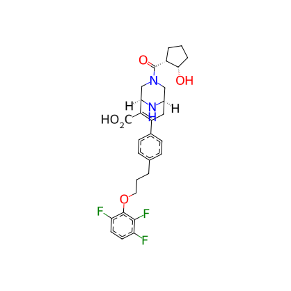 O=C(O)C1=C(c2ccc(CCCOc3c(F)ccc(F)c3F)cc2)C[C@@H]2CN(C(=O)[C@@H]3CCC[C@@H]3O)C[C@H]1N2